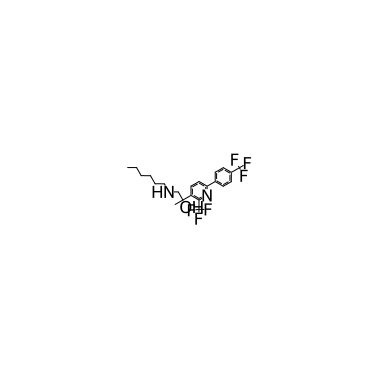 CCCCCCNCC(C)(O)c1ccc(-c2ccc(C(F)(F)F)cc2)nc1C(F)(F)F